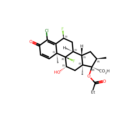 CCC(=O)O[C@]1(C(=O)O)[C@H](C)C[C@H]2[C@@H]3C[C@H](F)C4=C(Cl)C(=O)C=C[C@]4(C)[C@@]3(F)[C@@H](O)C[C@@]21C